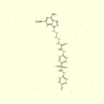 C#Cc1nc(N)c2ncn(CCCCOC(=O)NCc3ccc(S(=O)(=O)NCc4ccc(Cl)cc4)cc3)c2n1